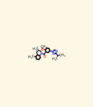 COc1ccc(-n2cnc(C(C)C)n2)cc1C(=O)N1C[C@H](C)Cc2c(C)cccc21